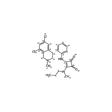 CCCN(C)c1c(Nc2ccccc2[C@@H]2CN(C)Cc3c(Cl)cc(Cl)cc32)c(=O)c1=O